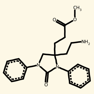 COC(=O)CCC1(CCN)CN(c2ccccc2)C(=O)N1c1ccccc1